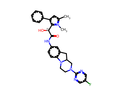 Cc1cc(-c2ccccc2)c([C@H](O)C(=O)Nc2ccc3c(c2)CC2CN(c4ncc(F)cn4)CCN32)n1C